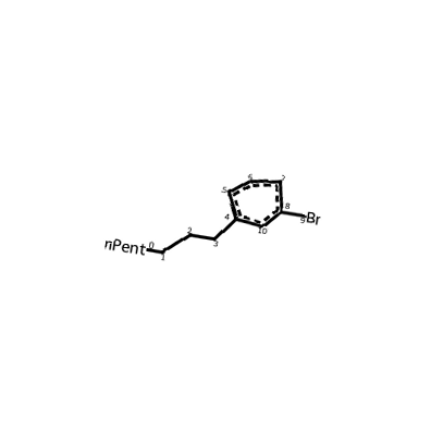 CCCCCCCCc1[c]ccc(Br)c1